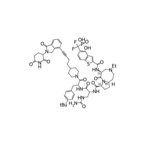 CCN1CC[C@H]2CC[C@@H](C(=O)NC(CNC(N)=O)C(=O)NC(Cc3ccc(C(C)(C)C)cc3)C(=O)N3CCC(CCC#Cc4cccc5c4CN(C4CCC(=O)NC4=O)C5=O)CC3)N2C(=O)[C@@H](NC(=O)c2cc3cc(C(F)(F)P(=O)(O)O)ccc3s2)C1